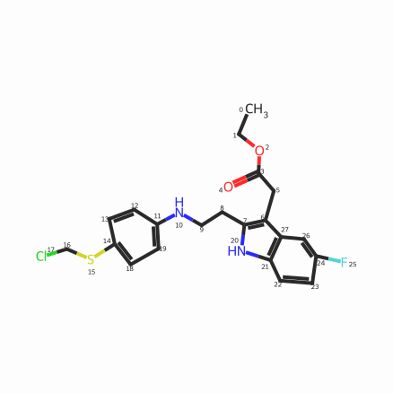 CCOC(=O)Cc1c(CCNc2ccc(SCCl)cc2)[nH]c2ccc(F)cc12